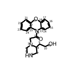 O=C(CN1CCNCC1CCO)N1c2ccccc2Oc2ccccc21